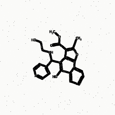 COC(=O)c1c(C)oc2c1c(C(NCCO)c1ccncc1)c(O)c1ccccc12